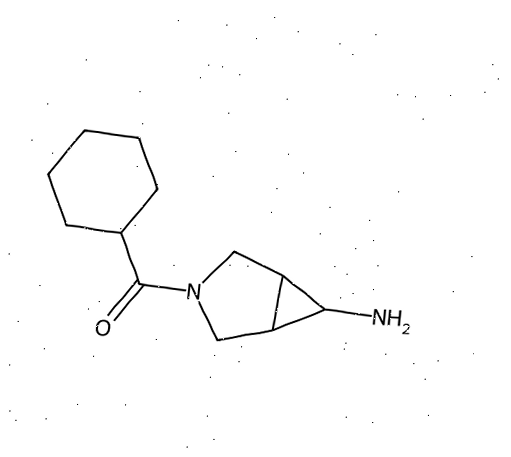 NC1C2CN(C(=O)C3CCCCC3)CC12